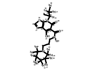 [2H]N(CCCN1C([2H])([2H])C([2H])([2H])C([2H])([2H])C([2H])([2H])C1([2H])[2H])C(=O)c1c(O)c2ncoc2n(C([2H])(C)C([2H])([2H])[2H])c1=O